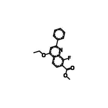 CCOc1cc(-c2ccccc2)nc2c(F)c(C(=O)OC)ccc12